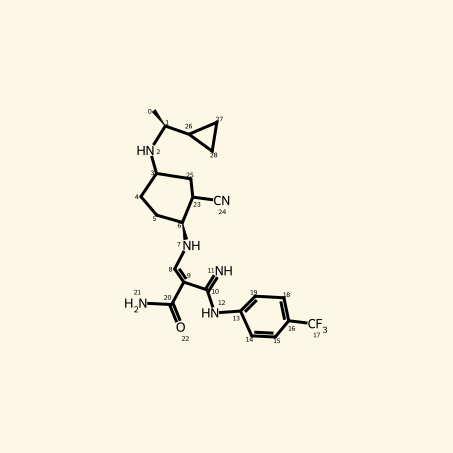 C[C@H](NC1CC[C@H](N/C=C(\C(=N)Nc2ccc(C(F)(F)F)cc2)C(N)=O)C(C#N)C1)C1CC1